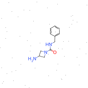 NC1CN(C(=O)NCc2ccccc2)C1